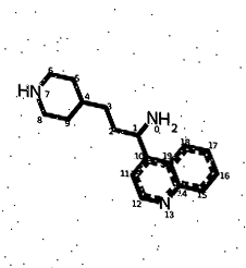 NC(CCC1CCNCC1)c1ccnc2ccccc12